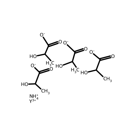 CC(O)C(=O)[O-].CC(O)C(=O)[O-].CC(O)C(=O)[O-].CC(O)C(=O)[O-].[NH4+].[Y+3]